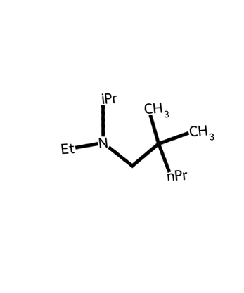 CCCC(C)(C)CN(CC)C(C)C